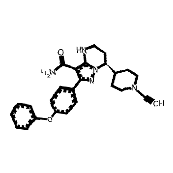 C#CN1CCC([C@@H]2CCNc3c(C(N)=O)c(-c4ccc(Oc5ccccc5)cc4)nn32)CC1